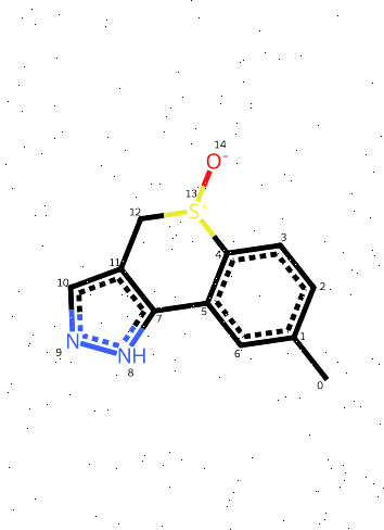 Cc1ccc2c(c1)-c1[nH]ncc1C[S+]2[O-]